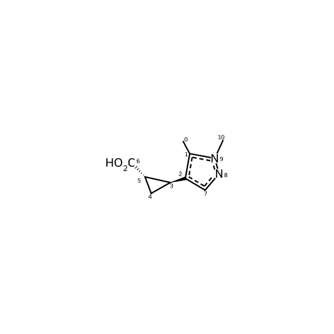 Cc1c([C@H]2C[C@@H]2C(=O)O)cnn1C